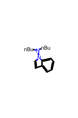 CCCCN(CCCC)n1[c]cc2ccccc21